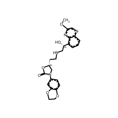 COc1cnc2cccc([C@@H](O)CNCC[C@@H]3CN(c4ccc5c(c4)OCCO5)C(=O)O3)c2n1